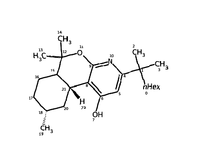 CCCCCCC(C)(C)c1cc(O)c2c(n1)OC(C)(C)C1CC[C@@H](C)C[C@@H]21